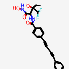 CCC(O)(C(F)F)C(NC(=O)c1ccc(C#CC#Cc2ccc(OC)cc2)cc1)C(=O)NO